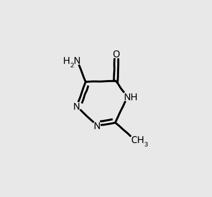 Cc1nnc(N)c(=O)[nH]1